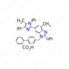 CCCc1nc2c(C)cc(-c3nc(C(C)C)c(C)n3C(C)C)cc2n1Cc1ccc(-c2ccccc2C(=O)O)cc1